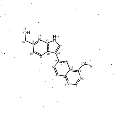 COc1ncnc2ccc(-c3c[nH]c4nc(CO)ccc34)cc12